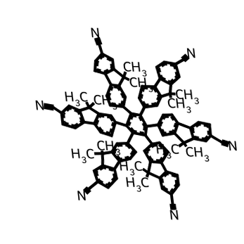 CC1(C)c2cc(C#N)ccc2-c2ccc(-c3c(-c4ccc5c(c4)C(C)(C)c4cc(C#N)ccc4-5)c(-c4ccc5c(c4)C(C)(C)c4cc(C#N)ccc4-5)c(-c4ccc5c(c4)C(C)(C)c4cc(C#N)ccc4-5)c(-c4ccc5c(c4)C(C)(C)c4cc(C#N)ccc4-5)c3-c3ccc4c(c3)C(C)(C)c3cc(C#N)ccc3-4)cc21